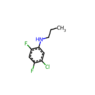 CCCNc1cc(Cl)c(F)cc1F